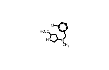 CN(Cc1cccc(Cl)c1)C1CNC(C(=O)O)C1